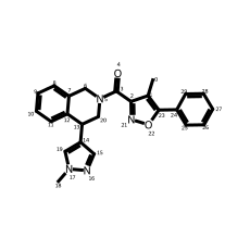 Cc1c(C(=O)N2Cc3ccccc3C(c3cnn(C)c3)C2)noc1-c1ccccc1